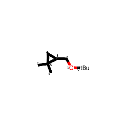 CC(C)(C)OCC1CC1(C)C